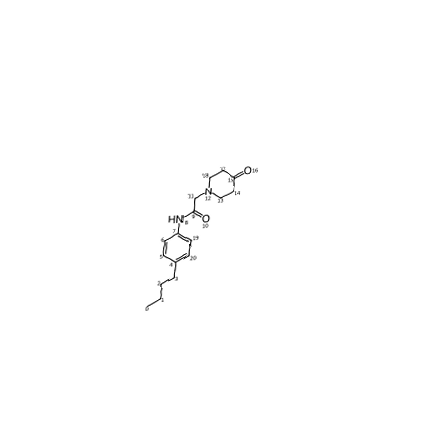 CCCCc1ccc(NC(=O)CN2CCC(=O)CC2)cc1